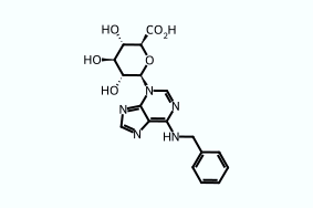 O=C(O)[C@H]1O[C@@H](n2cnc(NCc3ccccc3)c3ncnc2-3)[C@H](O)[C@@H](O)[C@@H]1O